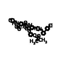 CN(C)C(=O)COc1cccc(Oc2cc(N3CCN(Cc4ccccc4-c4ccc(Cl)cc4)CC3)ccc2C(=O)NS(=O)(=O)c2ccc(NCC3CCOCC3)c([N+](=O)[O-])c2)c1